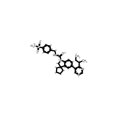 CCC(C)c1ncncc1-c1ccc2c(c1)C1(CCCC1)CN2C(=O)NCc1ccc(S(C)(=O)=O)cc1